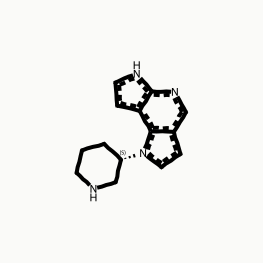 c1cc2c(ncc3ccn([C@H]4CCCNC4)c32)[nH]1